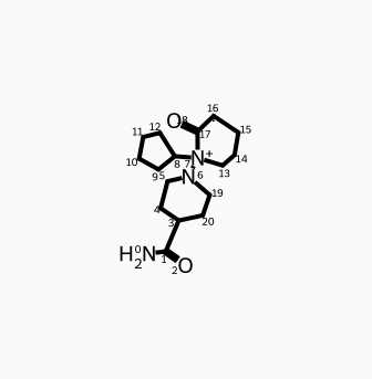 NC(=O)C1CCN([N+]2(C3CCCC3)CCC[CH]C2=O)CC1